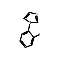 Ic1ccccc1-n1ccnc1